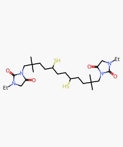 CCN1CC(=O)N(CC(C)(C)CCC(S)CCC(S)CCC(C)(C)CN2C(=O)CN(CC)C2=O)C1=O